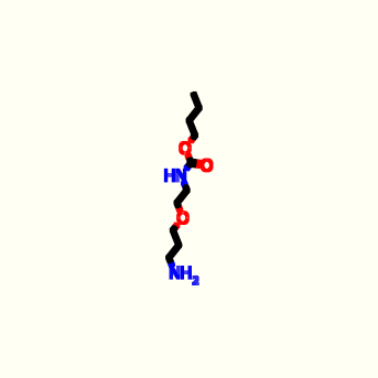 CCCCOC(=O)NCCOCCCN